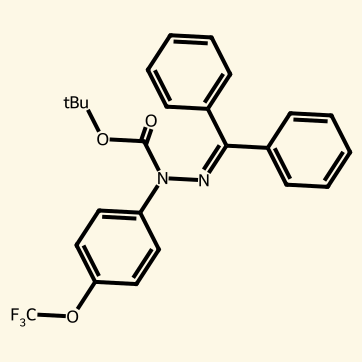 CC(C)(C)OC(=O)N(N=C(c1ccccc1)c1ccccc1)c1ccc(OC(F)(F)F)cc1